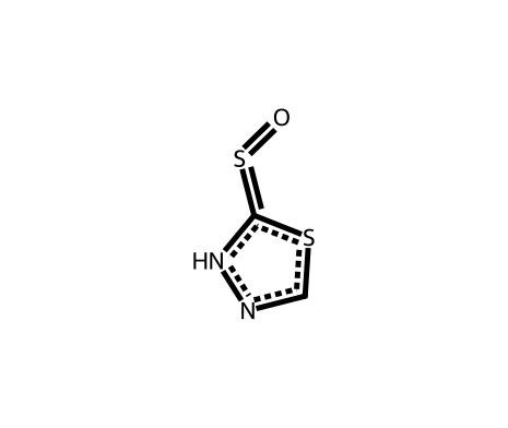 O=S=c1[nH]ncs1